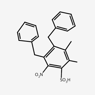 Cc1c(C)c(S(=O)(=O)O)c([N+](=O)[O-])c(Cc2ccccc2)c1Cc1ccccc1